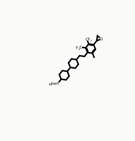 CCCCCC1CCC(C2CCC(CCc3c(C)cc(C4CO4)c(C(F)(F)F)c3C(F)(F)F)CC2)CC1